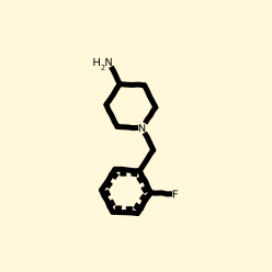 NC1CCN(Cc2ccccc2F)CC1